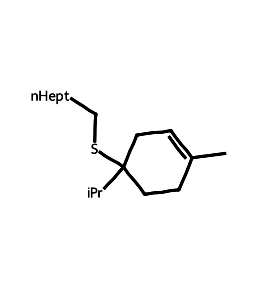 CCCCCCCCSC1(C(C)C)CC=C(C)CC1